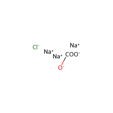 O=C([O-])[O-].[Cl-].[Na+].[Na+].[Na+]